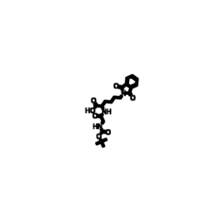 CC(C)(C)OC(=O)NCC(=O)NC(CCCCN1C(=O)c2ccccc2C1=O)C(=O)O